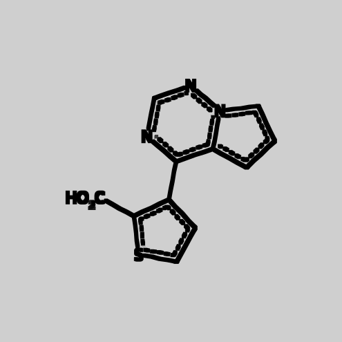 O=C(O)c1sccc1-c1ncnn2cccc12